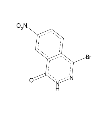 O=c1[nH]nc(Br)c2ccc([N+](=O)[O-])cc12